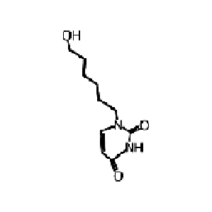 O=c1ccn(CCCCCCO)c(=O)[nH]1